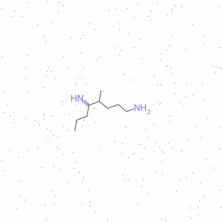 CCCC(=N)C(C)CCCN